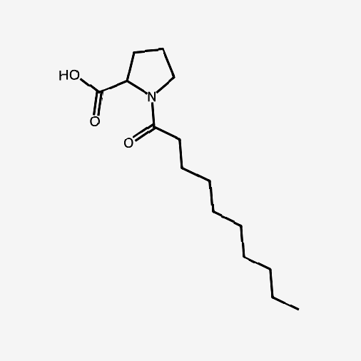 CCCCCCCCCC(=O)N1CCCC1C(=O)O